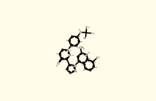 Cc1cc(-n2nccc2-c2nn(-c3ccc(OC(F)(F)F)cc3)ccc2=O)c2cccc(F)c2n1